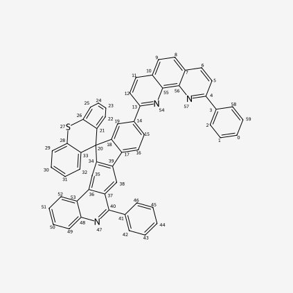 c1ccc(-c2ccc3ccc4ccc(-c5ccc6c(c5)C5(c7ccccc7Sc7ccccc75)c5cc7c(cc5-6)c(-c5ccccc5)nc5ccccc57)nc4c3n2)cc1